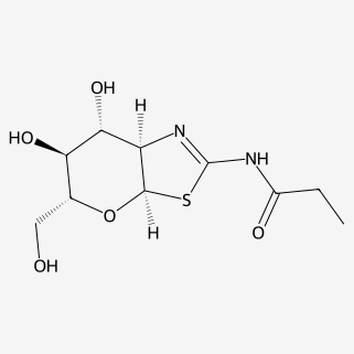 CCC(=O)NC1=N[C@@H]2[C@@H](O)[C@H](O)[C@@H](CO)O[C@@H]2S1